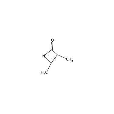 CC1[N]C(=O)C1C